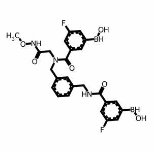 CONC(=O)CN(Cc1cccc(CNC(=O)c2cc(F)cc(BO)c2)c1)C(=O)c1cc(F)cc(BO)c1